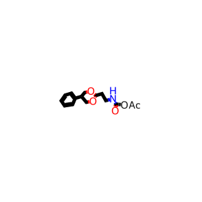 CC(=O)OC(=O)NCCC1OCC(c2ccccc2)CO1